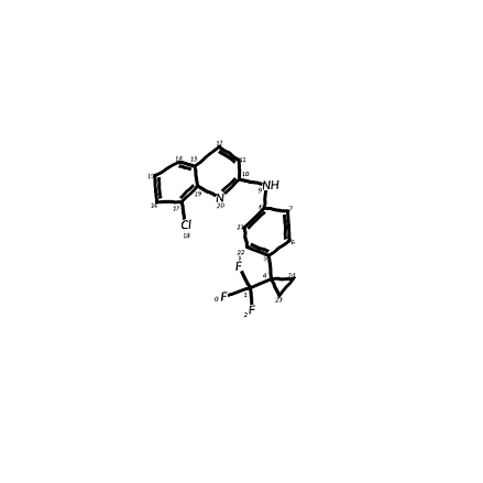 FC(F)(F)C1(c2ccc(Nc3ccc4cccc(Cl)c4n3)cc2)CC1